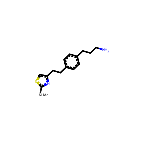 CC(=O)Nc1nc(CCc2ccc(CCCN)cc2)cs1